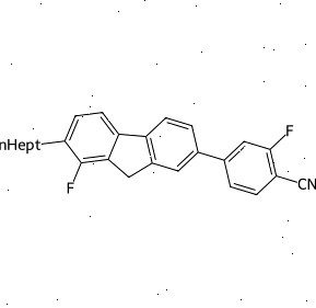 CCCCCCCc1ccc2c(c1F)Cc1cc(-c3ccc(C#N)c(F)c3)ccc1-2